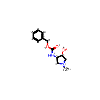 CC(C)(C)N1C[C@H](O)[C@H](NC(=O)OCc2ccccc2)C1